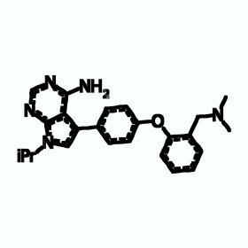 CC(C)n1cc(-c2ccc(Oc3ccccc3CN(C)C)cc2)c2c(N)ncnc21